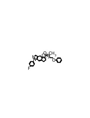 CN(CCOc1ccccc1)C(=O)[C@H]1CCC2=Cc3c(cnn3-c3ccc(F)cc3)C[C@@]21C